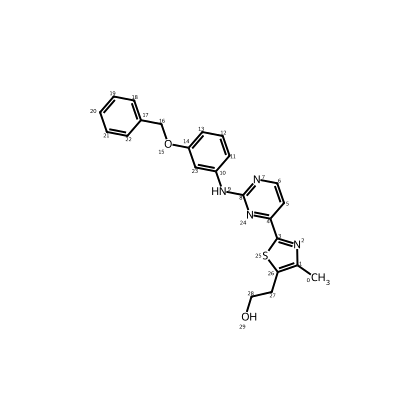 Cc1nc(-c2ccnc(Nc3cccc(OCc4ccccc4)c3)n2)sc1CCO